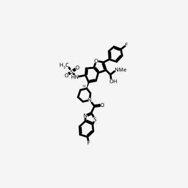 CNC(O)c1c(-c2ccc(F)cc2)oc2cc(NS(C)(=O)=O)c([C@@H]3CCCN(C(=O)c4nc5ccc(F)cc5s4)C3)cc12